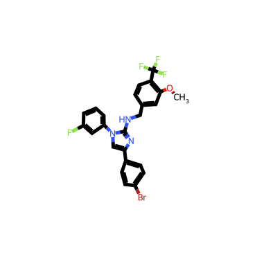 COc1cc(CNc2nc(-c3ccc(Br)cc3)cn2-c2cccc(F)c2)ccc1C(F)(F)F